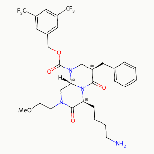 COCCN1C[C@@H]2N(C(=O)OCc3cc(C(F)(F)F)cc(C(F)(F)F)c3)C[C@@H](Cc3ccccc3)C(=O)N2[C@@H](CCCCN)C1=O